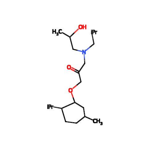 CC(C)CN(CC(=O)COC1CC(C)CCC1C(C)C)CC(C)O